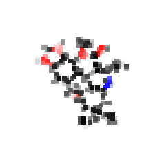 CCCCOC(=O)C1=C(C)NC2=C(C(=O)CC(C)(C)C2)C1c1cc2c(cc1[N+](=O)[O-])OCO2